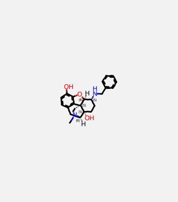 CN1CC[C@]23c4c5ccc(O)c4O[C@H]2[C@@H](NCc2ccccc2)CC[C@@]3(O)[C@H]1C5